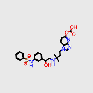 CC(C)(CCn1cnc2nc(OC(=O)O)ccc21)NCC(O)c1cccc(NS(=O)(=O)c2ccccc2)c1